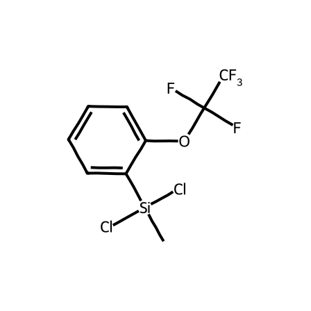 C[Si](Cl)(Cl)c1ccccc1OC(F)(F)C(F)(F)F